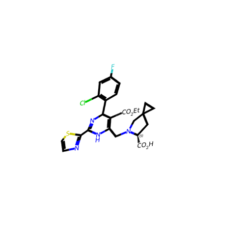 CCOC(=O)C1=C(CN2CC3(CC3)C[C@H]2C(=O)O)NC(c2nccs2)=NC1c1ccc(F)cc1Cl